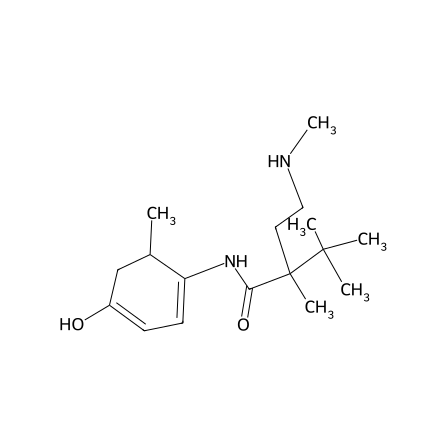 CNCCC(C)(C(=O)NC1=CC=C(O)CC1C)C(C)(C)C